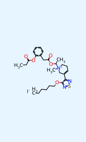 CCCCCCOc1nsnc1C1=CCC[N+](C)(C(C)OC(=O)Cc2ccccc2OC(=O)CC)C1.[I-]